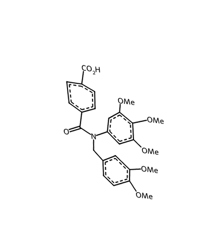 COc1ccc(CN(C(=O)c2ccc(C(=O)O)cc2)c2cc(OC)c(OC)c(OC)c2)cc1OC